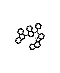 c1ccc(N(c2ccc(-c3cc4ccccc4c4ccccc34)c3ccccc23)c2cccc3c2sc2c4ccccc4ccc32)cc1